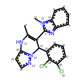 CC1=C(c2nc3ccccc3n2C)C(c2cccc(Cl)c2Cl)n2nccc2N1